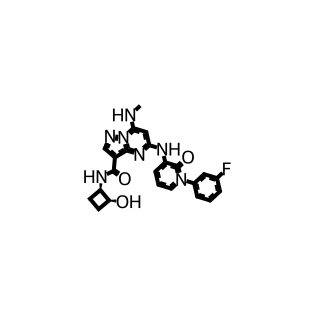 CNc1cc(Nc2cccn(-c3cccc(F)c3)c2=O)nc2c(C(=O)N[C@@H]3CC[C@@H]3O)cnn12